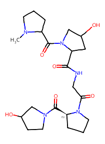 CN1CCCC1C(=O)N1CC(O)CC1C(=O)NCC(=O)N1CCC[C@H]1C(=O)N1CCC(O)C1